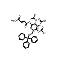 CCC(=O)O[C@H]1[C@@H](OC(=O)CC)[C@@H](COC(c2ccccc2)(c2ccccc2)c2ccccc2)O[C@@H](OC(=O)/C=C/C(=O)OC)[C@@H]1OC(=O)CC